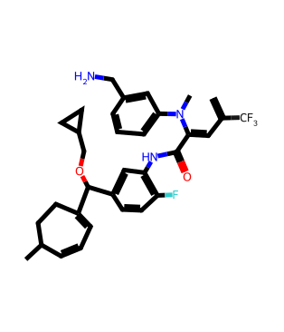 C=C(/C=C(/C(=O)Nc1cc(C(OCC2CC2)C2=CC=CC(C)CC2)ccc1F)N(C)c1cccc(CN)c1)C(F)(F)F